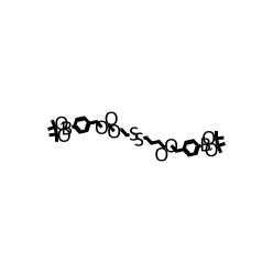 CC1(C)OB(c2ccc(COC(=O)CCCSSCCOC(=O)OCc3ccc(B4OC(C)(C)C(C)(C)O4)cc3)cc2)OC1(C)C